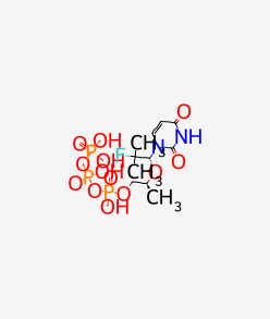 C[C@@H](COP(=O)(O)OP(=O)(O)OP(=O)(O)O)O[C@@H](n1ccc(=O)[nH]c1=O)C(C)(C)F